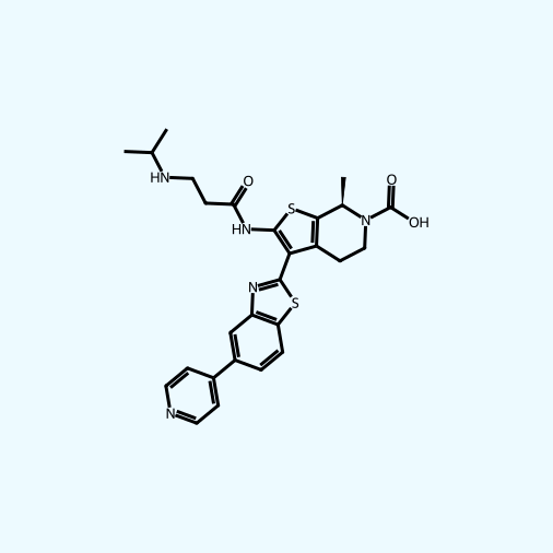 CC(C)NCCC(=O)Nc1sc2c(c1-c1nc3cc(-c4ccncc4)ccc3s1)CCN(C(=O)O)[C@@H]2C